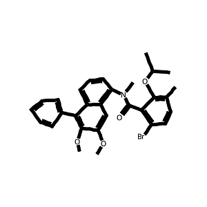 COc1cc2c(N(C)C(=O)c3c(Br)ccc(C)c3OC(C)C)cccc2c(-c2ccccc2)c1OC